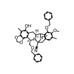 COc1c(C)cc2c(c1OCc1ccccc1)C1[C@@H]3Cc4c(O)c(C)c5c(c4[C@H](COCc4ccccc4)N3C(C#N)(C2)CN1C)OCO5